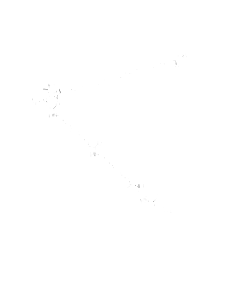 CCC(=O)NCCNC(=O)COCCOCCNC(=O)COCCOCCCNC(=O)CN(C)[C@H](NC(=O)CCCCCCCCCCCCCCCCCCCCC(=O)O)C(=O)O